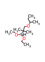 CCO[SiH](OCC)C(C)(C)COC(C)CC